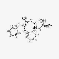 CCCC(O)CN1CCC(=O)N(Cc2ccccc2)Cc2ccccc21